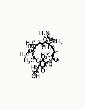 CO[C@H]1C[C@H](C)CC2=C(NCCO)C(=O)C=C(NC(=O)/C(C)=C/C=C\[C@@H](OC)[C@@H](OC(N)=O)/C(C)=C/[C@H](C)[C@H]1O)C2=O